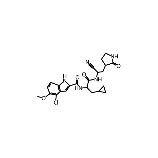 COc1ccc2[nH]c(C(=O)NC(CC3CC3)C(=O)NC(C#N)CC3CCNC3=O)cc2c1Cl